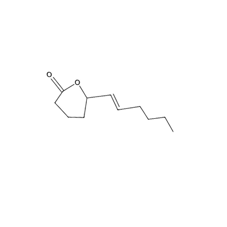 CCCC/C=C/C1CCCC(=O)O1